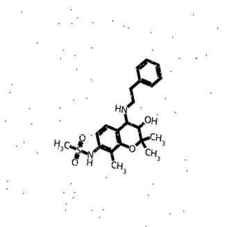 Cc1c(NS(C)(=O)=O)ccc2c1OC(C)(C)C(O)C2NCCc1ccccc1